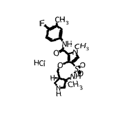 Cc1cc(NC(=O)c2c3c(cn2C)S(=O)(=O)N[C@]2(C)CNC[C@@H]2CO3)ccc1F.Cl